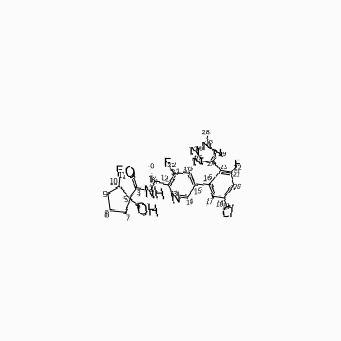 C[C@@H](NC(=O)C1(O)CCCC1F)c1ncc(-c2cc(Cl)cc(F)c2-c2nnn(C)n2)cc1F